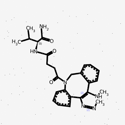 C/N=N\C1=C(/NC)c2ccccc2CN(C(=O)CCC(=O)N[C@H](C(N)=O)C(C)C)c2ccccc21